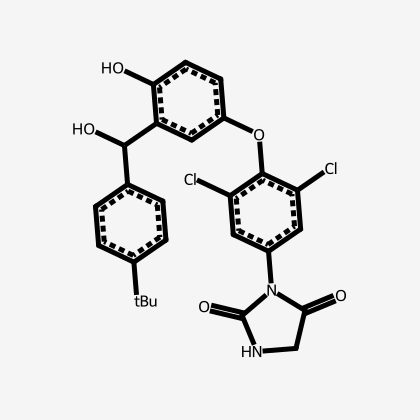 CC(C)(C)c1ccc(C(O)c2cc(Oc3c(Cl)cc(N4C(=O)CNC4=O)cc3Cl)ccc2O)cc1